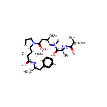 CC[C@H](C)[C@@H](C(CC(=O)N1CCC[C@H]1[C@H](OC)[C@@H](C)C(=O)N[C@@H](Cc1ccccc1)C(=O)O)OC)N(C)C(=O)[C@@H](NC(=O)[C@@H](NC)C(C)C)C(C)C